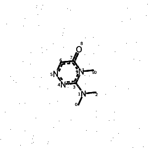 CN(C)c1nncc(=O)n1C